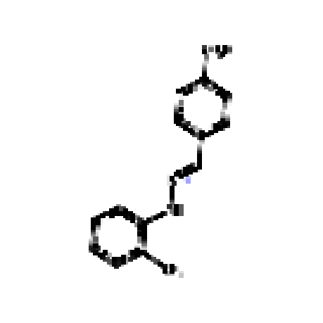 O=C(O)c1ccc(/C=N/Nc2ccccc2C(F)(F)F)cc1